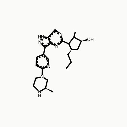 CCC[C@@H]1C[C@H](O)C(C)C1c1ncc2[nH]nc(-c3ccc(N4CCN[C@H](C)C4)nc3)c2n1